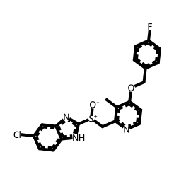 Cc1c(OCc2ccc(F)cc2)ccnc1C[S+]([O-])c1nc2cc(Cl)ccc2[nH]1